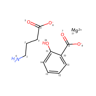 NCCCC(=O)[O-].O=C([O-])c1ccccc1O.[Mg+2]